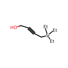 CC[Si](CC)(CC)CC#CCO